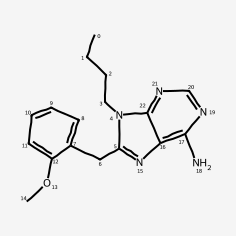 CCCCn1c(Cc2ccccc2OC)nc2c(N)ncnc21